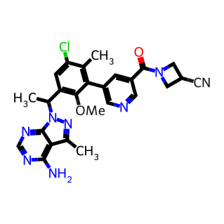 COc1c(C(C)n2nc(C)c3c(N)ncnc32)cc(Cl)c(C)c1-c1cncc(C(=O)N2CC(C#N)C2)c1